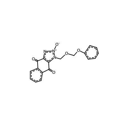 O=C1c2ccccc2C(=O)c2c1n[n+]([O-])n2COCOc1ccccc1